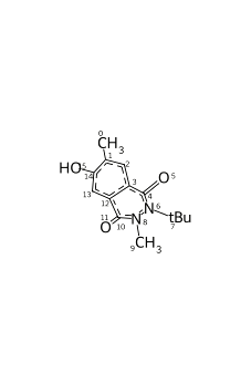 Cc1cc2c(=O)n(C(C)(C)C)n(C)c(=O)c2cc1O